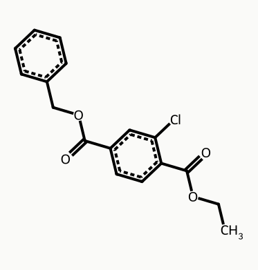 CCOC(=O)c1ccc(C(=O)OCc2ccccc2)cc1Cl